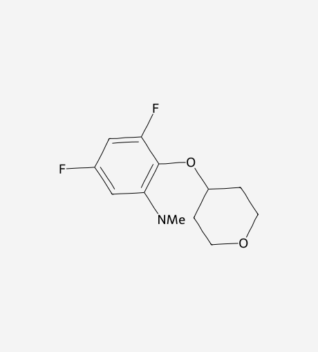 CNc1cc(F)cc(F)c1OC1CCOCC1